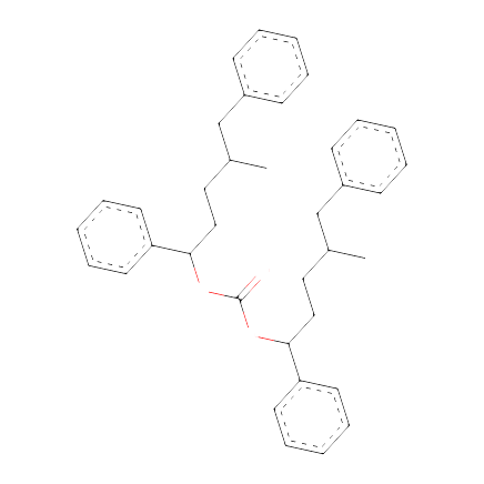 CC(CCC(OC(=O)OC(CCC(C)Cc1ccccc1)c1ccccc1)c1ccccc1)Cc1ccccc1